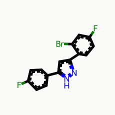 Fc1ccc(-c2cc(-c3ccc(F)cc3Br)n[nH]2)cc1